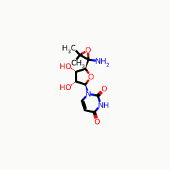 CC1(C)OC1(N)[C@H]1O[C@@H](n2ccc(=O)[nH]c2=O)[C@H](O)[C@@H]1O